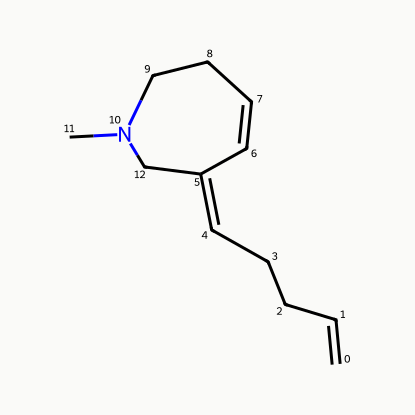 C=CCC/C=C1\C=CCCN(C)C1